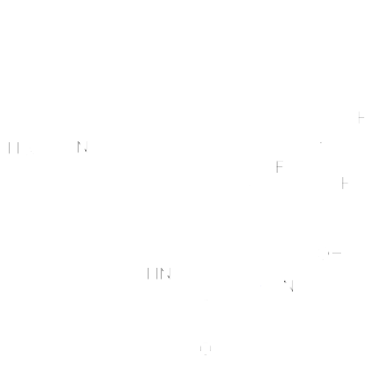 CN1CCc2c(-c3ccccc3C(F)(F)F)cc3c(c2C1)NC(=O)/C3=N/O